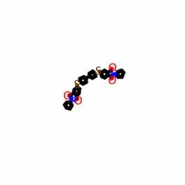 O=C1c2ccc(Sc3ccc(-c4ccc(Sc5ccc6c(c5)C(=O)N(c5ccccc5)C6=O)cc4)cc3)cc2C(=O)N1c1ccccc1